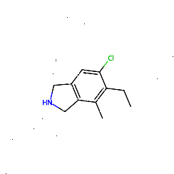 CCc1c(Cl)cc2c(c1C)CNC2